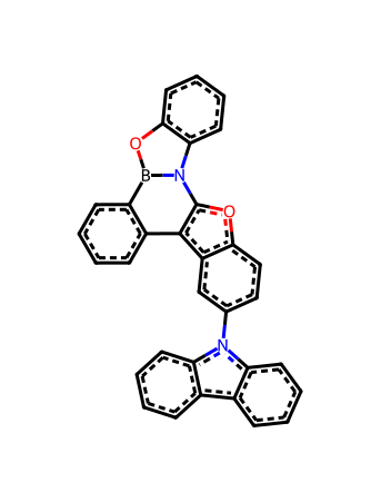 c1ccc2c(c1)OB1c3ccccc3-c3c(oc4ccc(-n5c6ccccc6c6ccccc65)cc34)N12